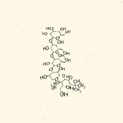 CC(C)(C)C[C@H](O)[C@@H](O[C@@H]1O[C@H](CO)[C@@H](O)[C@H](O[C@@H]2O[C@H](CO)[C@@H](O)[C@H](O[C@@H]3O[C@H](CO)[C@@H](O)[C@H](O[C@@H]4O[C@H](CO)[C@@H](O)[C@H](O)[C@H]4O)[C@H]3O)[C@H]2O)[C@H]1O)[C@H](O)[C@H](O)CO